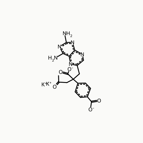 CC(=O)CC(Cc1cnc2nc(N)nc(N)c2n1)(C(=O)[O-])c1ccc(C(=O)[O-])cc1.[K+].[K+]